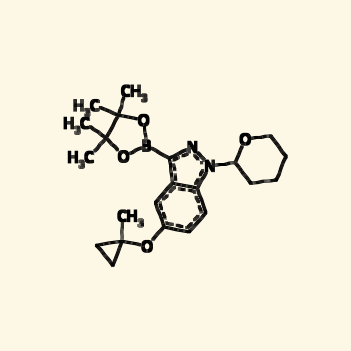 CC1(Oc2ccc3c(c2)c(B2OC(C)(C)C(C)(C)O2)nn3C2CCCCO2)CC1